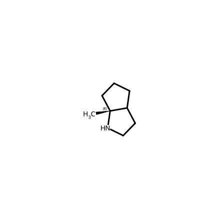 C[C@@]12CCCC1CCN2